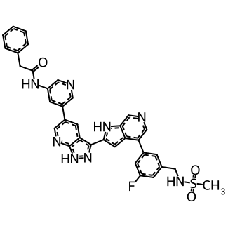 CS(=O)(=O)NCc1cc(F)cc(-c2cncc3[nH]c(-c4n[nH]c5ncc(-c6cncc(NC(=O)Cc7ccccc7)c6)cc45)cc23)c1